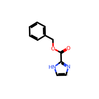 O=C(OCc1ccccc1)c1n[c]c[nH]1